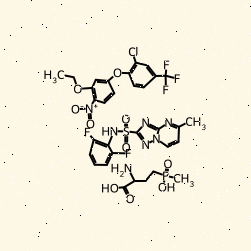 CCOc1cc(Oc2ccc(C(F)(F)F)cc2Cl)ccc1[N+](=O)[O-].CP(=O)(O)CCC(N)C(=O)O.Cc1ccn2nc(S(=O)(=O)Nc3c(F)cccc3F)nc2n1